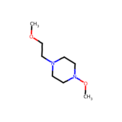 COCCN1CCN(OC)CC1